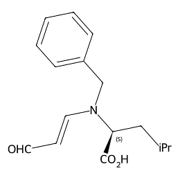 CC(C)C[C@@H](C(=O)O)N(C=CC=O)Cc1ccccc1